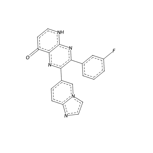 O=c1cc[nH]c2nc(-c3cccc(F)c3)c(-c3ccc4nccn4c3)nc12